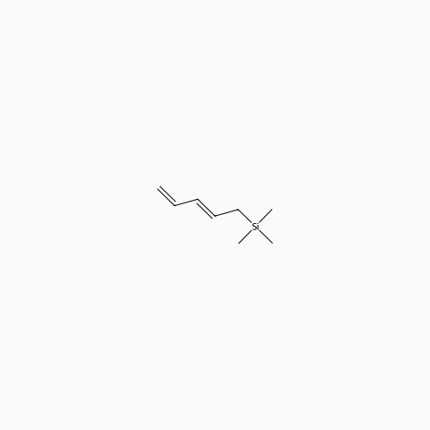 C=C/C=C/C[Si](C)(C)C